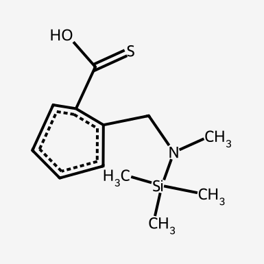 CN(Cc1ccccc1C(O)=S)[Si](C)(C)C